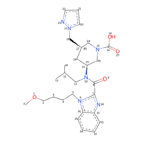 COCCCCn1c(C(=O)N(CC(C)C)[C@H]2C[C@@H](Cn3cccn3)CN(C(=O)O)C2)nc2ccccc21